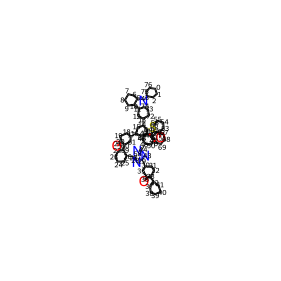 c1ccc(-n2c3ccccc3c3cc(-c4cc(-c5ccc6oc7cccc(-c8nc(-c9ccc%10c(c9)oc9ccccc9%10)nc(-c9ccc%10c(c9)oc9ccccc9%10)n8)c7c6c5)cc5c4sc4ccccc45)ccc32)cc1